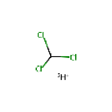 ClC(Cl)Cl.[2H+]